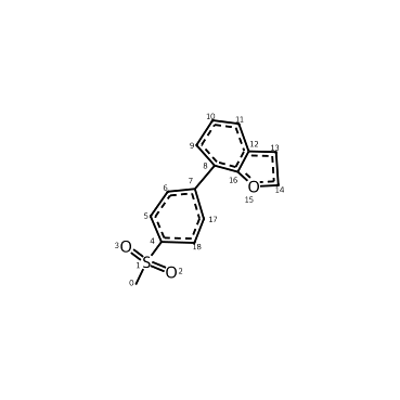 CS(=O)(=O)c1ccc(-c2cccc3ccoc23)cc1